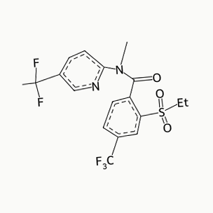 CCS(=O)(=O)c1cc(C(F)(F)F)ccc1C(=O)N(C)c1ccc(C(C)(F)F)cn1